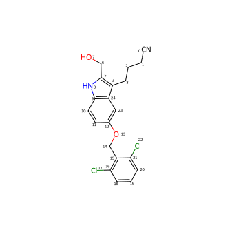 N#CCCCc1c(CO)[nH]c2ccc(OCc3c(Cl)cccc3Cl)cc12